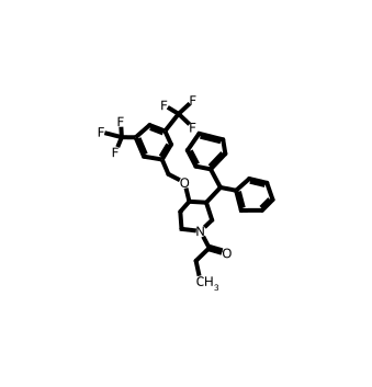 CCC(=O)N1CCC(OCc2cc(C(F)(F)F)cc(C(F)(F)F)c2)C(C(c2ccccc2)c2ccccc2)C1